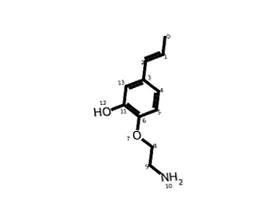 CC=Cc1ccc(OCCN)c(O)c1